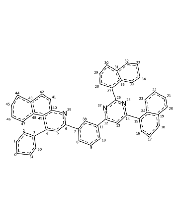 c1ccc(-c2cc(-c3cccc(-c4cc(-c5cccc6ccccc56)nc(-c5cccc6ccccc56)n4)c3)nc3ccc4ccccc4c23)cc1